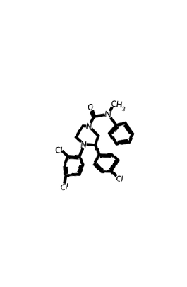 CN(C(=O)N1CCN(c2ccc(Cl)cc2Cl)C(c2ccc(Cl)cc2)C1)c1ccccc1